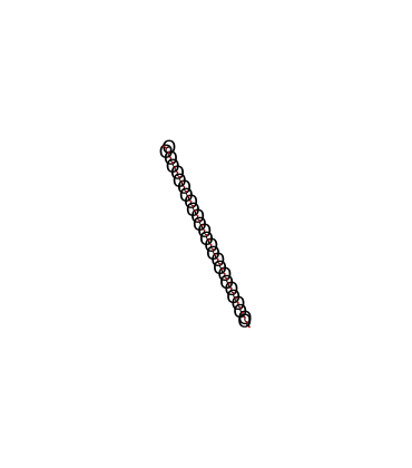 C=CCOOCCOCCOCCOCCOCCOCCOCCOCCOCCOCCOCCOCCOCCOCCOCCOCCOCCOCCOCCOCCOCCOCCOCCOC(=O)C=C